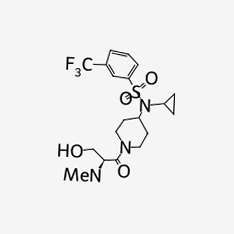 CN[C@@H](CO)C(=O)N1CCC(N(C2CC2)S(=O)(=O)c2cccc(C(F)(F)F)c2)CC1